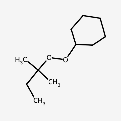 CCC(C)(C)OOC1CCCCC1